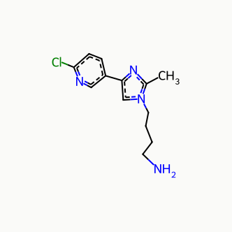 Cc1nc(-c2ccc(Cl)nc2)cn1CCCCN